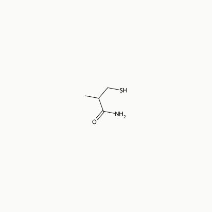 CC(CS)C(N)=O